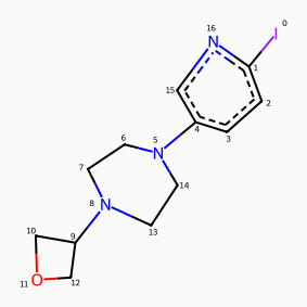 Ic1ccc(N2CCN(C3COC3)CC2)cn1